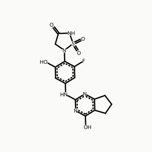 O=C1CN(c2c(O)cc(Nc3nc(O)c4c(n3)CCC4)cc2F)S(=O)(=O)N1